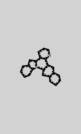 c1ccc2cc3c(cc2c1)c1ncccc1c1cc2ccccc2n31